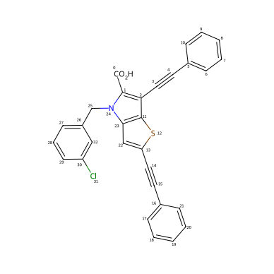 O=C(O)c1c(C#Cc2ccccc2)c2sc(C#Cc3ccccc3)cc2n1Cc1cccc(Cl)c1